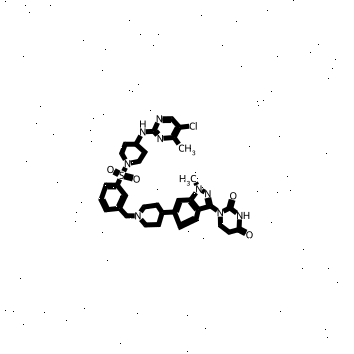 Cc1nc(NC2CCN(S(=O)(=O)c3cccc(CN4CCC(c5ccc6c(N7CCC(=O)NC7=O)nn(C)c6c5)CC4)c3)CC2)ncc1Cl